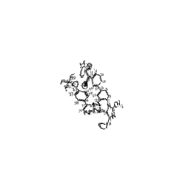 Cc1nc(Cl)cn1-c1ccc(-c2cccc(S(C)(=O)=O)c2)cc1-n1nncc1-c1ccc(OC(F)(F)F)cc1